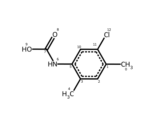 Cc1cc(C)c(NC(=O)O)cc1Cl